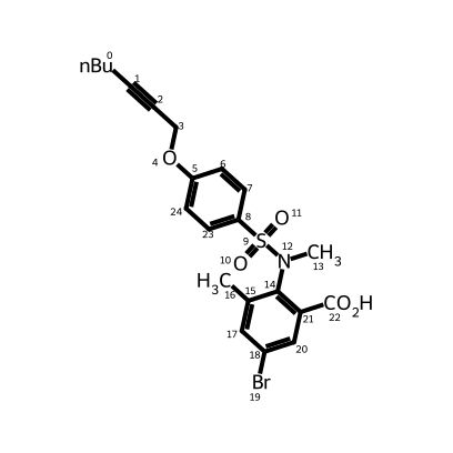 CCCCC#CCOc1ccc(S(=O)(=O)N(C)c2c(C)cc(Br)cc2C(=O)O)cc1